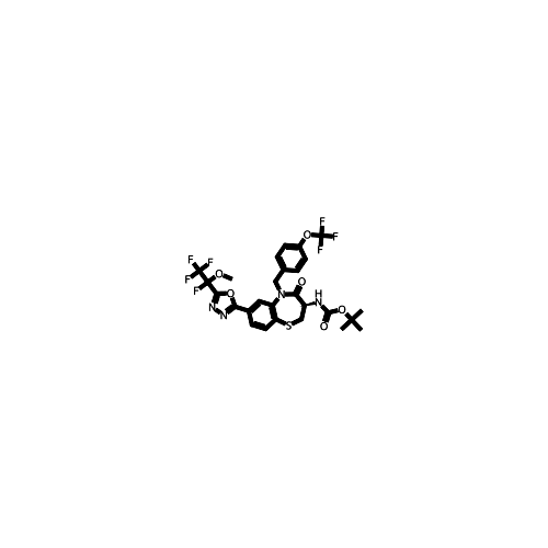 COC(F)(c1nnc(-c2ccc3c(c2)N(Cc2ccc(OC(F)(F)F)cc2)C(=O)[C@@H](NC(=O)OC(C)(C)C)CS3)o1)C(F)(F)F